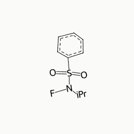 CC(C)N(F)S(=O)(=O)c1ccccc1